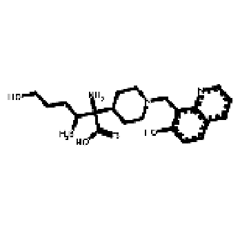 BC(CCCO)C(N)(C(=O)O)C1CCN(Cc2c(O)ccc3cccnc23)CC1